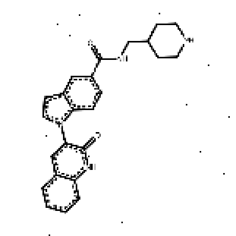 O=C(NCC1CCNCC1)c1ccc2c(ccn2-c2cc3ccccc3[nH]c2=O)c1